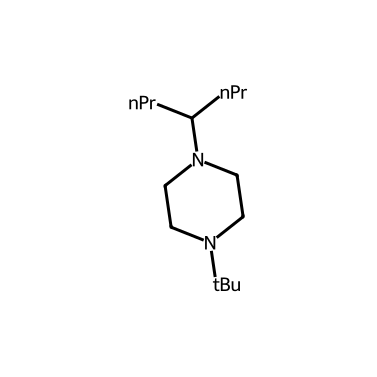 CCCC(CCC)N1CCN(C(C)(C)C)CC1